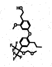 CCCc1cc(C(OCOC)(C(F)(F)F)C(F)(F)F)ccc1Oc1ccc(CCO)c(OC)c1